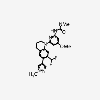 CNC(=O)Nc1cc(OC)cc(N2CCCc3cc(-c4cnn(C)c4)c(C(F)F)cc32)n1